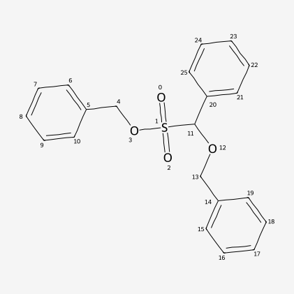 O=S(=O)(OCc1ccccc1)C(OCc1ccccc1)c1ccccc1